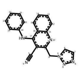 N#Cc1c(Cn2ccnn2)nc2ccccc2c1Nc1ccccc1